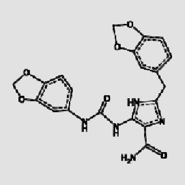 NC(=O)c1nc(Cc2ccc3c(c2)OCO3)[nH]c1NC(=O)Nc1ccc2c(c1)OCO2